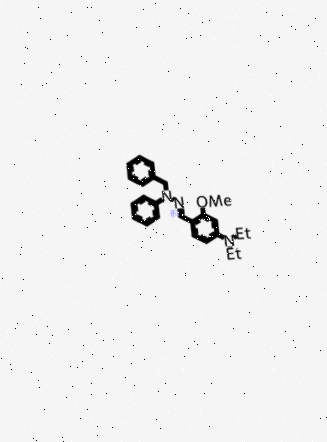 CCN(CC)c1ccc(/C=N/N(Cc2ccccc2)c2ccccc2)c(OC)c1